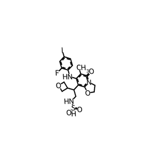 Cc1c(Nc2ccc(I)cc2F)c(C(CN[SH](=O)=O)C2COC2)c2n(c1=O)CCO2